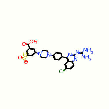 NC(N)=Nc1nc(-c2ccc(N3CCN(c4cc(C(=O)O)cc([SH](=O)=O)c4)CC3)cc2)c2cc(Cl)ccc2n1